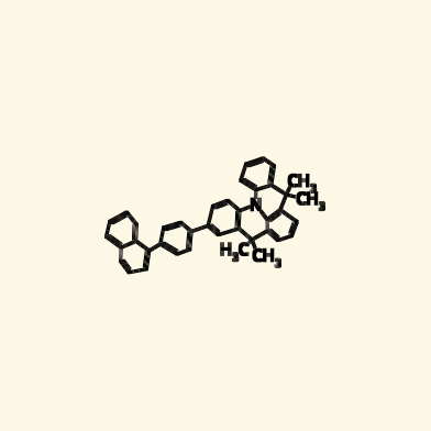 CC1(C)c2ccccc2N2c3ccc(-c4ccc(-c5cccc6ccccc56)cc4)cc3C(C)(C)c3cccc1c32